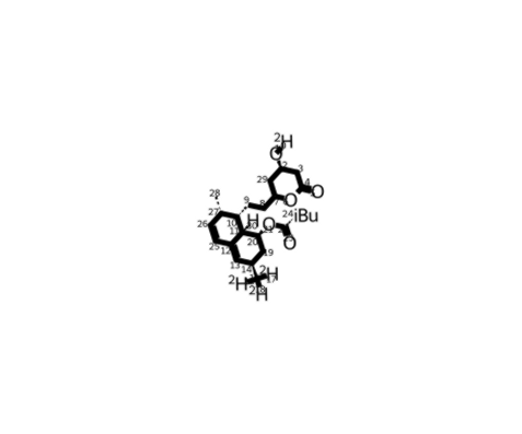 [2H]O[C@H]1CC(=O)OC(CC[C@@H]2[C@@H]3C(=C[C@H](C([2H])([2H])[2H])C[C@@H]3OC(=O)[C@@H](C)CC)C=C[C@@H]2C)C1